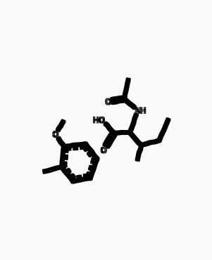 CCC(C)C(NC(C)=O)C(=O)O.COc1ccccc1C